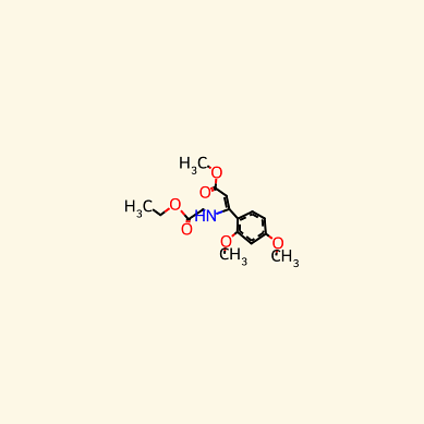 CCOC(=O)CNC(=CC(=O)OC)c1ccc(OC)cc1OC